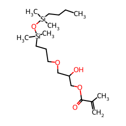 C=C(C)C(=O)OCC(O)COCCC[Si](C)(C)O[Si](C)(C)CCCC